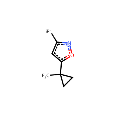 CC(C)c1cc(C2(C(F)(F)F)CC2)on1